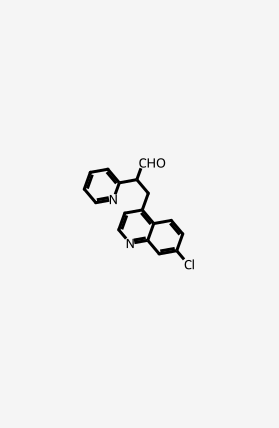 O=CC(Cc1ccnc2cc(Cl)ccc12)c1ccccn1